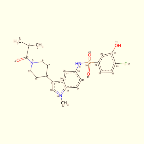 CC(C)C(=O)N1CCC(c2cn(C)c3ccc(NS(=O)(=O)c4ccc(F)c(O)c4)cc23)CC1